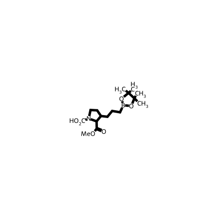 COC(=O)C1C(CCCB2OC(C)(C)C(C)(C)O2)CCN1C(=O)O